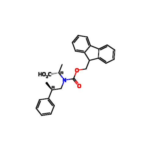 C[C@@H](CN(C(=O)OCC1c2ccccc2-c2ccccc21)[C@@H](C)C(=O)O)c1ccccc1